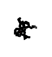 CCC(C)CC(c1ccccc1)(c1cccc(CN)c1)C(C)(C)CC1(C(=O)OC)CC1C